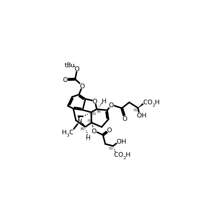 CN1CC[C@]23c4c5ccc(OC(=O)OC(C)(C)C)c4O[C@H]2C(OC(=O)C[C@H](O)C(=O)O)=CC[C@@]3(OC(=O)C[C@H](O)C(=O)O)[C@H]1C5